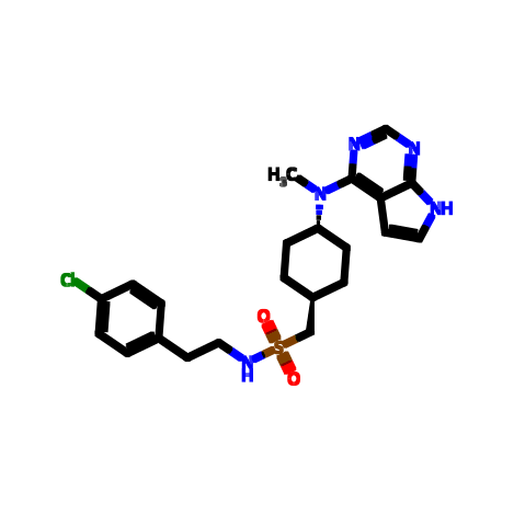 CN(c1ncnc2[nH]ccc12)[C@H]1CC[C@H](CS(=O)(=O)NCCc2ccc(Cl)cc2)CC1